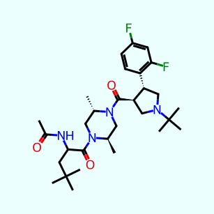 CC(=O)NC(CC(C)(C)C)C(=O)N1C[C@H](C)N(C(=O)[C@@H]2CN(C(C)(C)C)C[C@H]2c2ccc(F)cc2F)C[C@H]1C